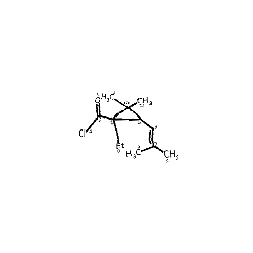 CCC1(C(=O)Cl)C(C=C(C)C)C1(C)C